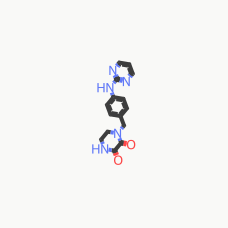 O=C1NCCN(Cc2ccc(Nc3ncccn3)cc2)C1=O